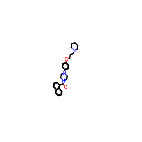 C[C@@H]1CCC[C@H](C)N1CCCOc1ccc(N2CCN(C(=O)c3cccc4ccccc34)CC2)cc1